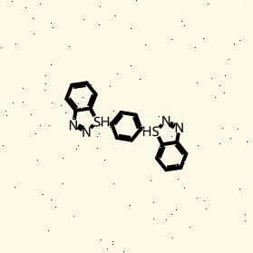 c1ccc2c(c1)N=N[SH]2c1ccc([SH]2N=Nc3ccccc32)cc1